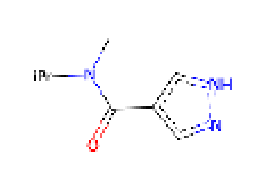 CC(C)N(C)C(=O)c1cn[nH]c1